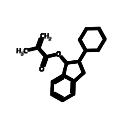 C=C(C)C(=O)OC1c2ccccc2CC1C1CCCCC1